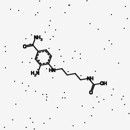 NC(=O)c1ccc(NCCCCNC(=O)O)c(N)c1